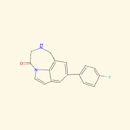 O=C1CNCc2cc(-c3ccc(F)cc3)cc3ccn1c23